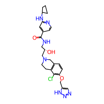 O=C(NC[C@H](O)CN1CCc2c(ccc(OCc3cnn[nH]3)c2Cl)C1)c1ccnc(NC2CCC2)c1